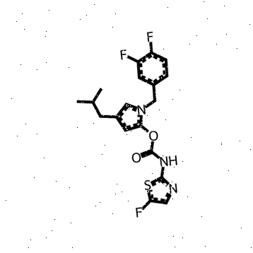 CC(C)Cc1cc(OC(=O)Nc2ncc(F)s2)n(Cc2ccc(F)c(F)c2)c1